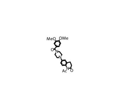 COc1ccc(C(=O)N2CCN(c3ccc4c(c3)CCC(=O)N4C(C)=O)CC2)cc1OC